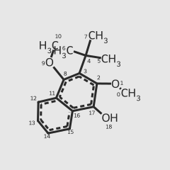 COc1c(C(C)(C)C)c(OC)c2ccccc2c1O